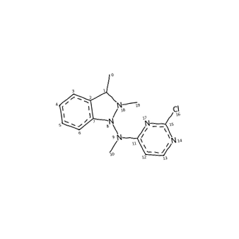 CC1c2ccccc2N(N(C)c2ccnc(Cl)n2)N1C